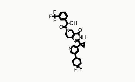 O=C([C@H](O)c1cccc(C(F)(F)F)c1)N1CCc2nc(C3(c4cncc(C5CCC(F)(F)CC5)c4)CC3)[nH]c(=O)c2C1